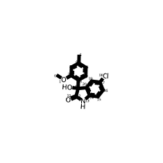 COc1cc(C)ccc1C1(O)C(=O)Nc2ccc(Cl)cc21